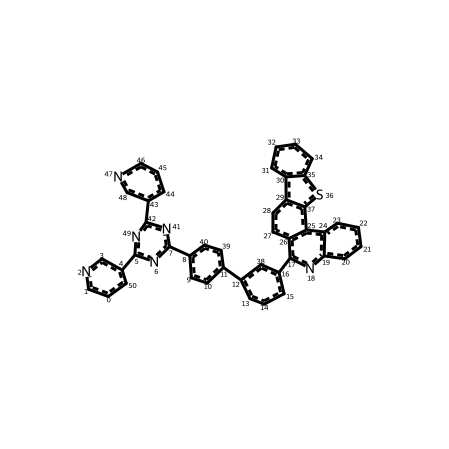 c1cncc(-c2nc(-c3ccc(-c4cccc(-c5nc6ccccc6c6c5ccc5c7ccccc7sc56)c4)cc3)nc(-c3cccnc3)n2)c1